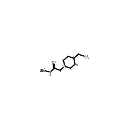 CC(C)(C)NC(=O)CN1CCC(CN)CC1